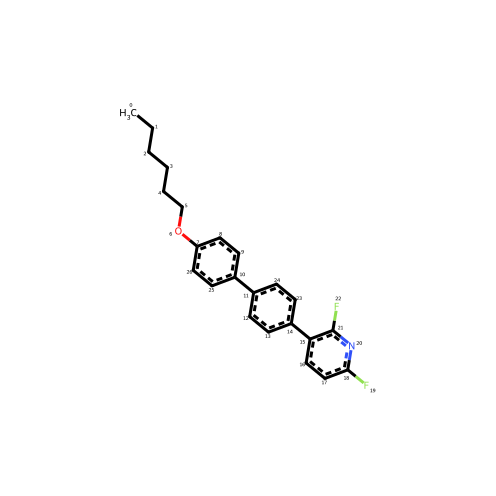 CCCCCCOc1ccc(-c2ccc(-c3ccc(F)nc3F)cc2)cc1